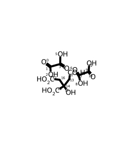 O=C(O)C(=O)O.O=C(O)C(=O)O.O=C(O)CC(O)(CC(=O)O)C(=O)O